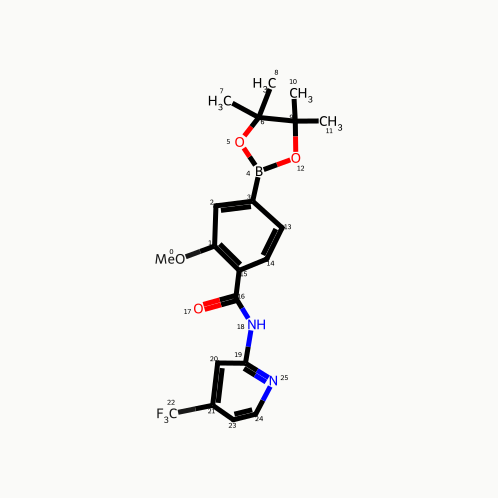 COc1cc(B2OC(C)(C)C(C)(C)O2)ccc1C(=O)Nc1cc(C(F)(F)F)ccn1